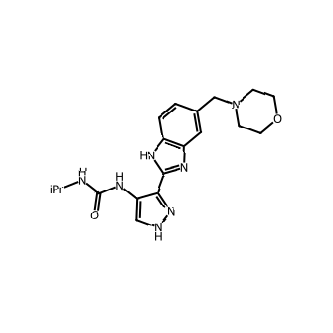 CC(C)NC(=O)Nc1c[nH]nc1-c1nc2cc(CN3CCOCC3)ccc2[nH]1